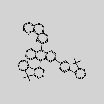 CC1(C)c2ccccc2-c2ccc(-c3ccc4c(-c5ccc6ccc7cccnc7c6n5)c5ccccc5c(-c5cccc6c5-c5ccccc5C6(C)C)c4c3)cc21